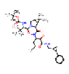 CCCC(NC(=O)C1C2C(CN1C(=O)C(NC(=O)OC(C)(C)C)C(C)(C)C)C2(C)C)C(=O)C(=O)NCC1CC1c1ccccc1